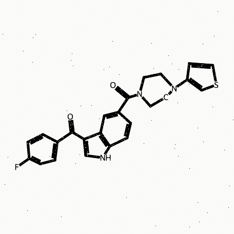 O=C(c1ccc(F)cc1)c1c[nH]c2ccc(C(=O)N3CCN(c4ccsc4)CC3)cc12